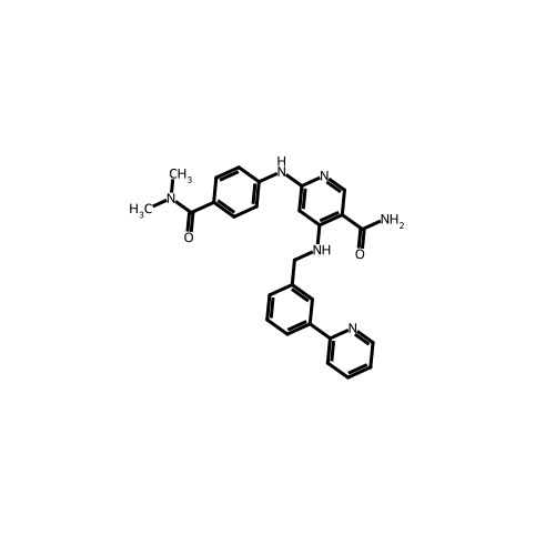 CN(C)C(=O)c1ccc(Nc2cc(NCc3cccc(-c4ccccn4)c3)c(C(N)=O)cn2)cc1